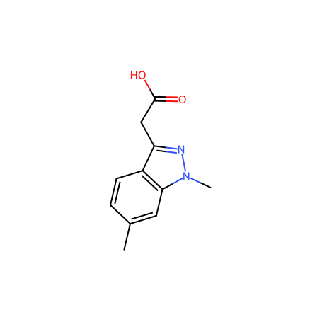 Cc1ccc2c(CC(=O)O)nn(C)c2c1